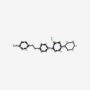 CCc1ccc(CCc2ccc(-c3ccc(C4CCCCC4)cc3F)cc2)cc1